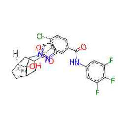 O=C(Nc1cc(F)c(F)c(F)c1)c1ccc(Cl)c(S(=O)(=O)C2CC3CC[C@@H](C2)[C@@]3(O)Cn2cccn2)c1